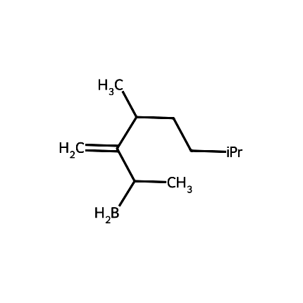 BC(C)C(=C)C(C)CCC(C)C